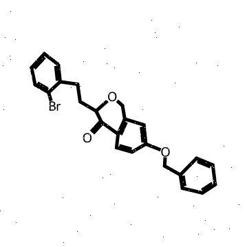 O=C1c2ccc(OCc3ccccc3)cc2COC1CCc1ccccc1Br